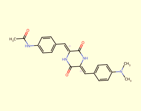 CC(=O)Nc1ccc(/C=c2\[nH]c(=O)/c(=C/c3ccc(N(C)C)cc3)[nH]c2=O)cc1